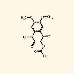 COc1cc(C(=O)COC(C)=O)c(N(C)C=O)cc1OC